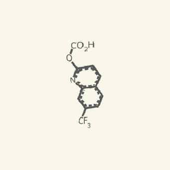 O=C(O)Oc1ccc2ccc(C(F)(F)F)cc2n1